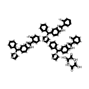 Fc1ccccc1-c1nc2cc(C(c3ccccc3)n3ccnc3)ccc2[nH]1.Fc1ccccc1-c1nc2cc(C(c3ccccc3)n3ccnc3)ccc2[nH]1.Fc1ccccc1-c1nc2cc(C(c3ccccc3)n3ccnc3)ccc2[nH]1.O=C(O)C(=O)O.O=C(O)C(=O)O